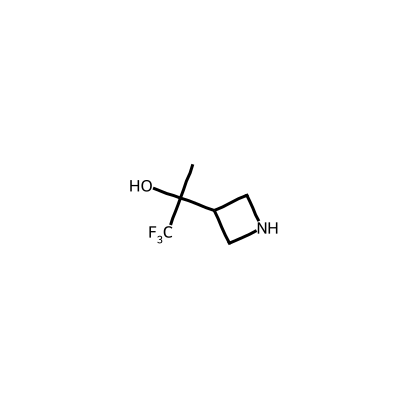 CC(O)(C1CNC1)C(F)(F)F